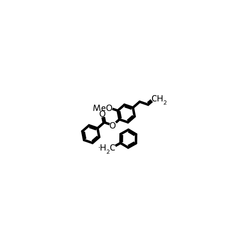 C=CCc1ccc(OC(=O)c2ccccc2)c(OC)c1.[CH2]c1ccccc1